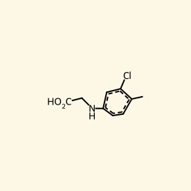 Cc1ccc(NCC(=O)O)cc1Cl